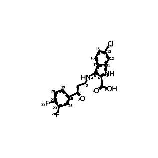 O=C(CCNc1c(C(=O)O)[nH]c2cc(Cl)ccc12)c1ccc(F)c(F)c1